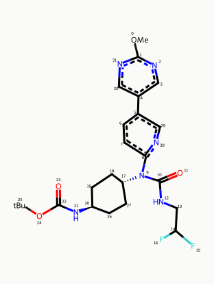 COc1ncc(-c2ccc(N(C(=O)NCC(F)F)[C@H]3CC[C@H](NC(=O)OC(C)(C)C)CC3)nc2)cn1